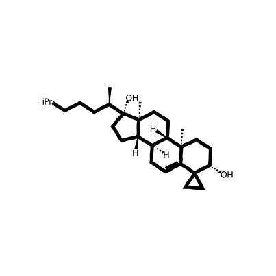 CC(C)CCC[C@@H](C)[C@]1(O)CC[C@H]2[C@@H]3CC=C4C5(CC5)[C@@H](O)CC[C@]4(C)[C@H]3CC[C@@]21C